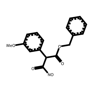 COc1cccc(C(C(=O)N=O)C(=O)OCc2ccccc2)c1